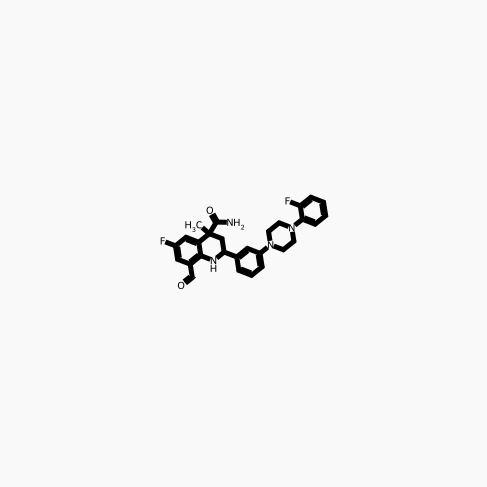 CC1(C(N)=O)CC(c2cccc(N3CCN(c4ccccc4F)CC3)c2)Nc2c([C]=O)cc(F)cc21